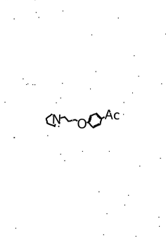 CC(=O)c1ccc(OCCCN2[CH]CCC2)cc1